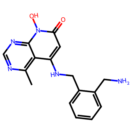 Cc1ncnc2c1c(NCc1ccccc1CN)cc(=O)n2O